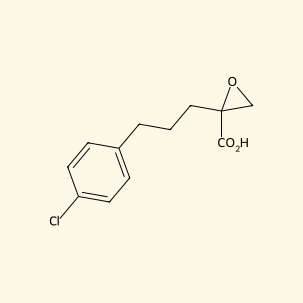 O=C(O)C1(CCCc2ccc(Cl)cc2)CO1